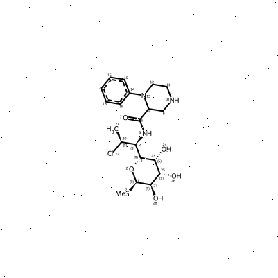 CS[C@H]1O[C@H]([C@H](NC(=O)C2CNCCN2c2ccccc2)[C@H](C)Cl)[C@H](O)[C@H](O)[C@H]1O